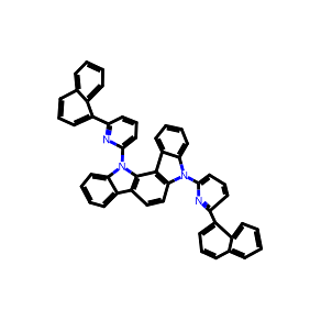 c1cc(-c2cccc3ccccc23)nc(-n2c3ccccc3c3c2ccc2c4ccccc4n(-c4cccc(-c5cccc6ccccc56)n4)c23)c1